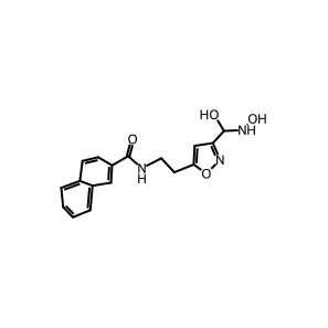 O=C(NCCc1cc(C(O)NO)no1)c1ccc2ccccc2c1